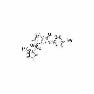 CC(C)c1ccc(NC(=O)c2cccc(S(=O)(=O)N3CCC[C@H]3C)c2)cc1